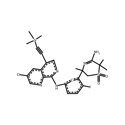 CC1(c2cc(Nc3ncc(C#C[Si](C)(C)C)c4cc(Cl)cnc34)ccc2F)CS(=O)(=O)C(C)(C)C(N)=N1